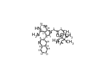 C=C[C@H](Cn1cc(-c2cnc3ccccc3c2)c2c1=NCNC=2N)O[Si](C)(C)C(C)(C)C